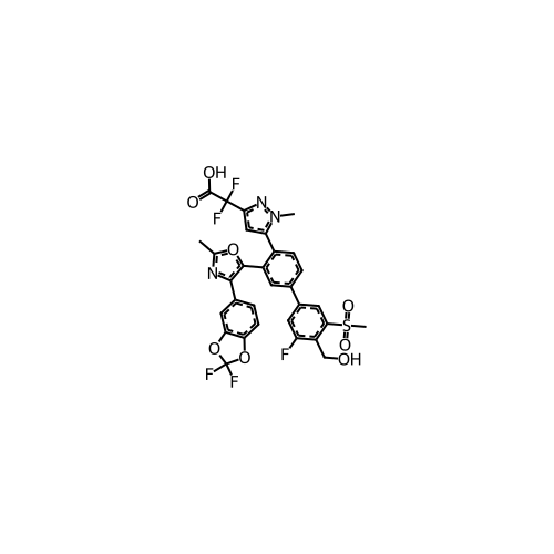 Cc1nc(-c2ccc3c(c2)OC(F)(F)O3)c(-c2cc(-c3cc(F)c(CO)c(S(C)(=O)=O)c3)ccc2-c2cc(C(F)(F)C(=O)O)nn2C)o1